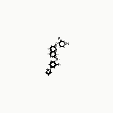 Fc1cc(-n2cccn2)ccc1Nc1cc2nc(O[C@@H]3CCNC[C@@H]3F)ccc2cn1